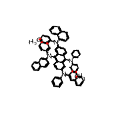 Cc1ccc(N(c2ccccc2)c2c3ccc(N(c4ccccc4)c4cccc5ccccc45)cc3c(N(c3ccc(C)cc3)c3ccc4ccccc4c3)c3ccc(N(c4ccccc4)c4ccc5ccccc5c4)cc23)cc1